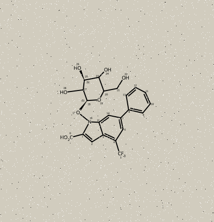 O=C(O)c1cc2c(C(F)(F)F)cc(-c3ccccc3)cc2n1O[C@@H]1OC(CO)C(O)[C@H](O)C1O